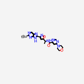 CC(NC(=O)c1cc(N2CCOCC2)ncn1)c1cc(-c2nc3cnc(C(C)(C)C)nc3[nH]2)no1